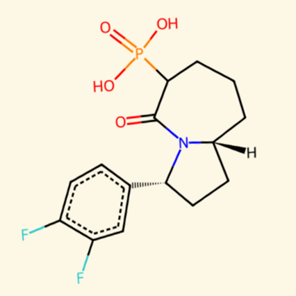 O=C1C(P(=O)(O)O)CCC[C@@H]2CC[C@H](c3ccc(F)c(F)c3)N12